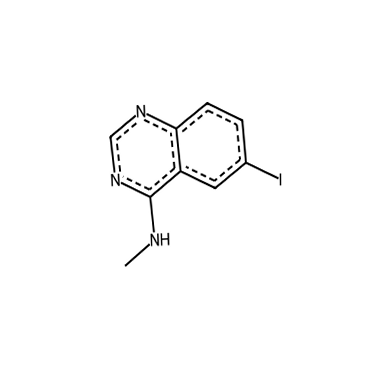 CNc1ncnc2ccc(I)cc12